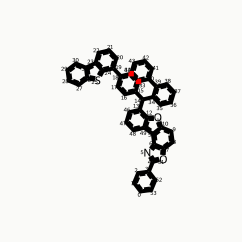 c1ccc(-c2nc3c(ccc4oc5c(C(c6ccc(-c7cccc8c7sc7ccccc78)cc6)c6ccccc6-c6ccccc6)cccc5c43)o2)cc1